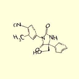 [C-]#[N+]c1ccc(N2C(=O)N[C@](CO)(c3ccccc3)C2=O)cc1C